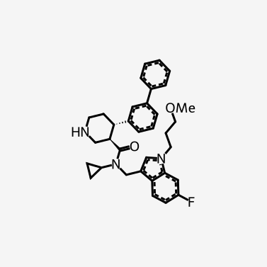 COCCCn1cc(CN(C(=O)[C@H]2CNCC[C@@H]2c2cccc(-c3ccccc3)c2)C2CC2)c2ccc(F)cc21